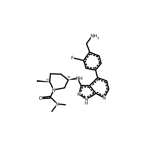 C[C@H]1CC[C@@H](Nc2n[nH]c3nccc(-c4ccc(CN)c(F)c4)c23)CN1C(=O)N(C)C